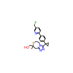 CC1(CO)Cc2nnc(C3(c4ccc(-c5ccc(CF)cn5)cc4)CC3)n2CCS1